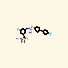 CCN(CC)C(=O)c1cc(F)cc(CNSc2ccc(-c3ccc(F)cc3)cc2)c1